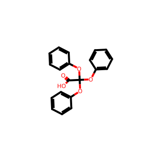 O=C(O)C(Oc1ccccc1)(Oc1ccccc1)Oc1ccccc1